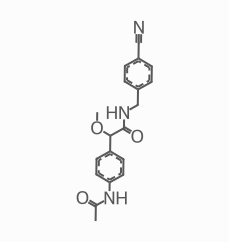 COC(C(=O)NCc1ccc(C#N)cc1)c1ccc(NC(C)=O)cc1